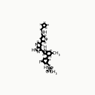 CC1C=C(c2cc(F)cc(CNS(C)(=O)=O)c2)c2cc(-c3n[nH]c4ncc(-c5cncc(CNCC6CCCC6)c5)cc34)[nH]c2C1